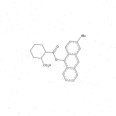 CC(C)(C)c1ccc2c(OC(=O)C3CCCCC3C(=O)O)c3ccccc3cc2c1